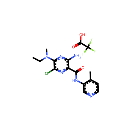 CCN(C)c1nc(N)c(C(=O)Nc2cnccc2C)nc1Cl.O=C(O)C(F)(F)F